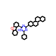 c1ccc(C2N=C(c3ccc4c(ccc5c6ccccc6ccc45)c3)N=C(c3cccc4oc5ccccc5c34)N2)cc1